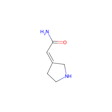 NC(=O)C=C1CCNC1